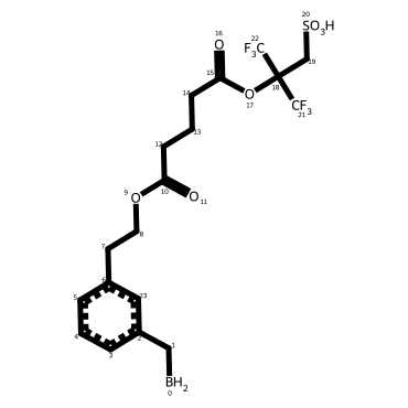 BCc1cccc(CCOC(=O)CCCC(=O)OC(CS(=O)(=O)O)(C(F)(F)F)C(F)(F)F)c1